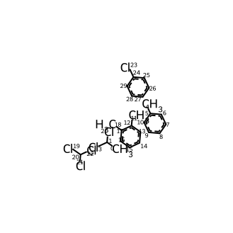 CC(Cl)Cl.Cc1ccccc1.Cc1ccccc1C.ClC(Cl)Cl.Clc1ccccc1